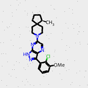 COc1cccc(-c2n[nH]c3nc(N4CCC5(CCC[C@H]5C)CC4)cnc23)c1Cl